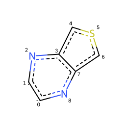 [c]1[c]nc2cscc2n1